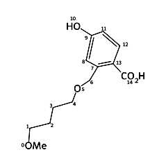 COCCCCOCc1cc(O)ccc1C(=O)O